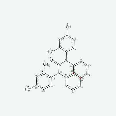 Cc1cc(O)ccc1C(C(=O)C(c1ccccc1)c1ccc(O)cc1C)c1ccccc1